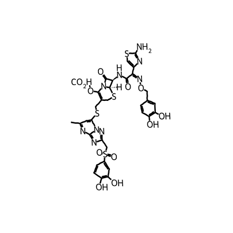 Cc1cc(SCC2=C(OC(=O)O)N3C(=O)[C@@H](NC(=O)/C(=N\OCc4ccc(O)c(O)c4)c4csc(N)n4)[C@H]3SC2)n2nc(CS(=O)(=O)c3ccc(O)c(O)c3)nc2n1